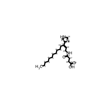 CCCCCCCCCCCC(=CCNC(=O)CCC(=O)O)c1nc[nH]n1